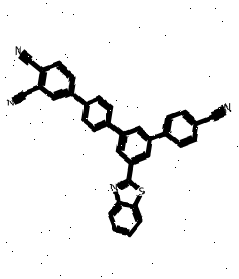 N#Cc1ccc(-c2cc(-c3ccc(-c4ccc(C#N)c(C#N)c4)cc3)cc(-c3nc4ccccc4s3)c2)cc1